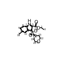 CCOC(=O)c1[nH]c2ccc(I)cc2c1S(=O)(=O)N1CCOCC1